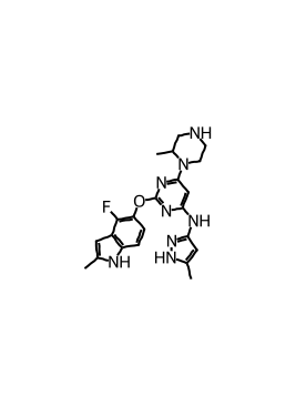 Cc1cc(Nc2cc(N3CCNCC3C)nc(Oc3ccc4[nH]c(C)cc4c3F)n2)n[nH]1